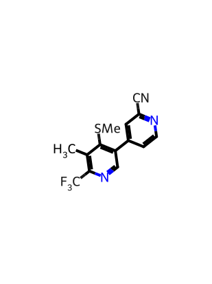 CSc1c(-c2ccnc(C#N)c2)cnc(C(F)(F)F)c1C